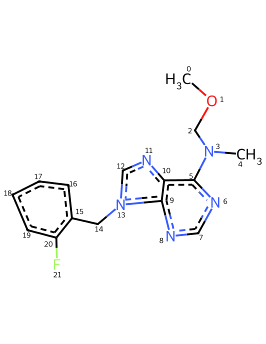 COCN(C)c1ncnc2c1ncn2Cc1ccccc1F